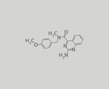 COc1ccc(CN(C)C(=O)c2nc(N)nc3ccccc23)cc1